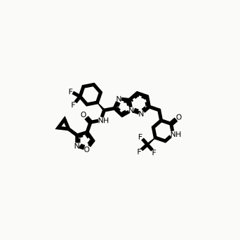 O=C(NC(c1cn2nc(CC3C[C@H](C(F)(F)F)CNC3=O)ccc2n1)[C@@H]1CCCC(F)(F)C1)c1conc1C1CC1